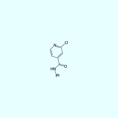 CC(C)NC(=O)c1ccnc(Cl)c1